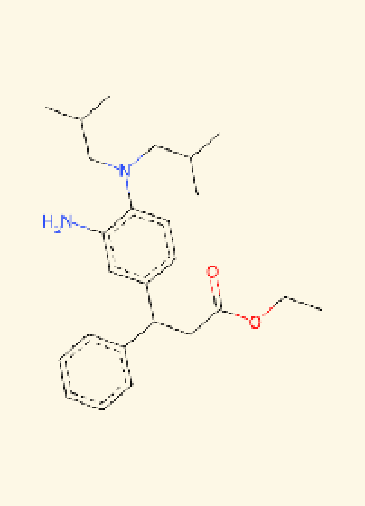 CCOC(=O)CC(c1ccccc1)c1ccc(N(CC(C)C)CC(C)C)c(N)c1